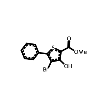 COC(=O)c1sc(-c2ccccc2)c(Br)c1O